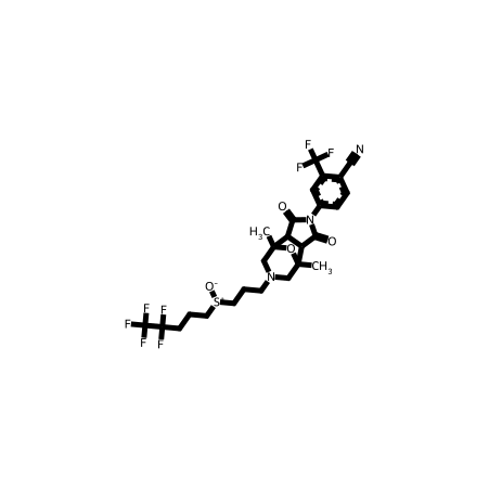 CC12CN(CCC[S+]([O-])CCCC(F)(F)C(F)(F)F)CC(C)(O1)C1C(=O)N(c3ccc(C#N)c(C(F)(F)F)c3)C(=O)C12